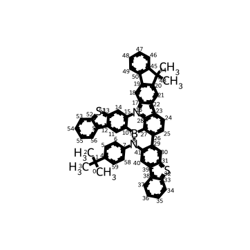 CC(C)(C)c1ccc(N2B3c4cc5c(cc4-n4c6cc7c(cc6c6ccc(c3c64)-c3cc4sc6ccccc6c4cc32)C(C)(C)c2ccccc2-7)sc2ccccc25)cc1